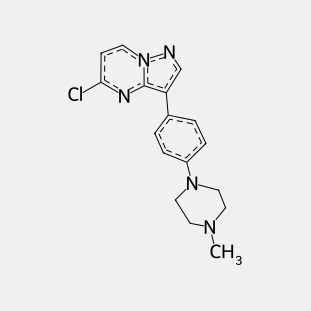 CN1CCN(c2ccc(-c3cnn4ccc(Cl)nc34)cc2)CC1